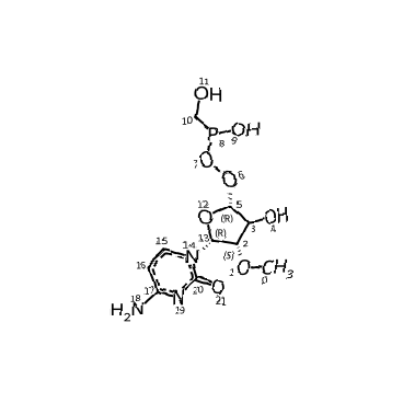 CO[C@H]1C(O)[C@@H](OOP(O)CO)O[C@H]1n1ccc(N)nc1=O